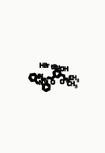 Br.CN(C)C(=O)Cc1cc(C(=O)Cn2c(=N)n(Cc3ccccc3)c3ccccc32)cc(C(C)(C)C)c1O